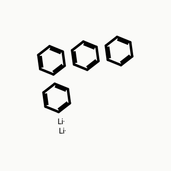 [Li].[Li].c1ccccc1.c1ccccc1.c1ccccc1.c1ccccc1